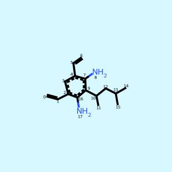 C=Cc1cc(C=C)c(N)c(C(C)CC(C)C)c1N